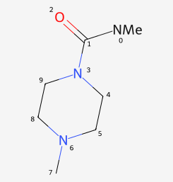 CNC(=O)N1CCN(C)CC1